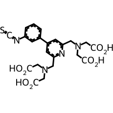 O=C(O)CN(CC(=O)O)Cc1cc(-c2cccc(N=C=S)c2)cc(CN(CC(=O)O)CC(=O)O)n1